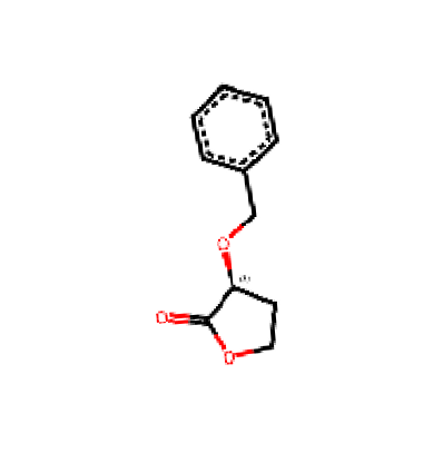 O=C1OCC[C@@H]1OCc1ccccc1